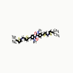 CC(C)N1C(=O)/C(=C2/C(=O)N(C(C)C)c3cc(-c4ccc(/C=c5\ccc(=C(C#N)C#N)s5)s4)ccc32)c2ccc(-c3ccc(/C=c4\ccc(=C(C#N)C#N)s4)s3)cc21